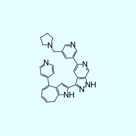 C1=CCc2[nH]c(-c3n[nH]c4cnc(-c5cncc(CN6CCCC6)c5)cc34)cc2C(c2ccncc2)=C1